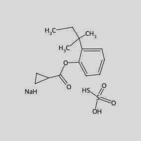 CCC(C)(C)c1ccccc1OC(=O)C1CC1.O=S(=O)(O)S.[NaH]